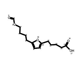 O=COCCCCc1ccc(CCCCC(=O)O)o1